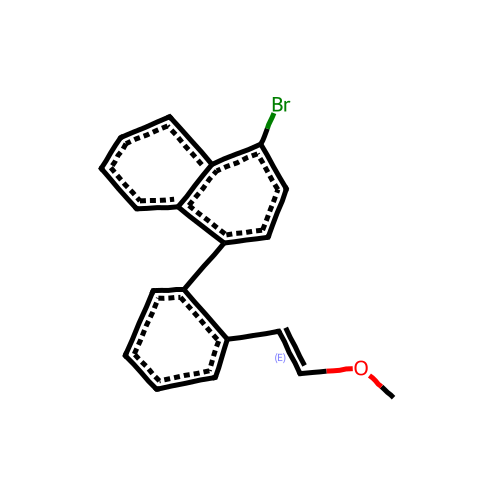 CO/C=C/c1ccccc1-c1ccc(Br)c2ccccc12